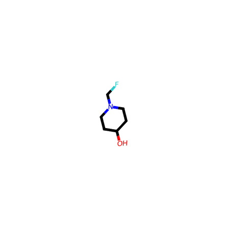 OC1CCN(CF)CC1